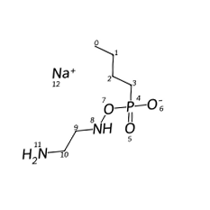 CCCCP(=O)([O-])ONCCN.[Na+]